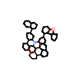 c1ccc(-c2ccc(-c3cccc4ccccc34)cc2N(c2cccc(-c3cccc4oc5ccccc5c34)c2)c2ccccc2-c2cccc3cccc(C4CCCCC4)c23)cc1